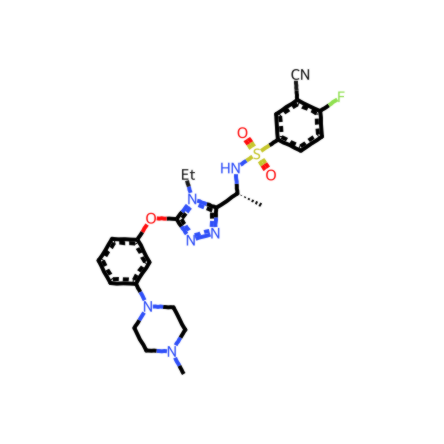 CCn1c(Oc2cccc(N3CCN(C)CC3)c2)nnc1[C@@H](C)NS(=O)(=O)c1ccc(F)c(C#N)c1